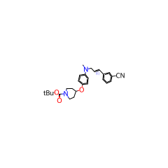 CN(C/C=C/c1cccc(C#N)c1)c1ccc(OC2CCN(C(=O)OC(C)(C)C)CC2)cc1